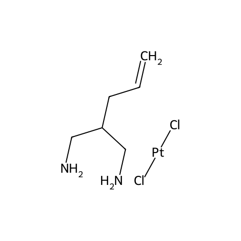 C=CCC(CN)CN.[Cl][Pt][Cl]